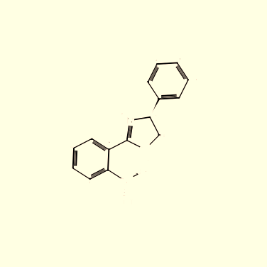 CC(C)[S@@+]([O-])c1ccccc1C1=N[C@@H](c2ccccc2)CO1